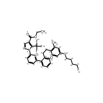 CCOC(=O)c1cnn(-c2cccc(-c3cccc(Cl)c3CCc3ccc(OCCCCF)cc3C)n2)c1C(F)(F)F